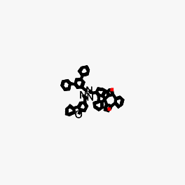 c1ccc(-c2cc(-c3ccccc3)cc(-c3nc(-c4ccc5oc6ccccc6c5c4)nc(-c4cccc5c4-c4ccccc4C54c5ccccc5-c5ccccc5-c5ccccc54)n3)c2)cc1